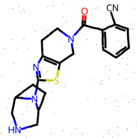 N#Cc1ccccc1C(=O)N1CCc2nc(N3C4CCC3CNC4)sc2C1